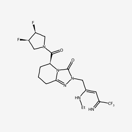 CCN/C(=C\C(=N)C(F)(F)F)Cn1nc2n(c1=O)[C@H](C(=O)N1C[C@@H](F)[C@@H](F)C1)CCC2